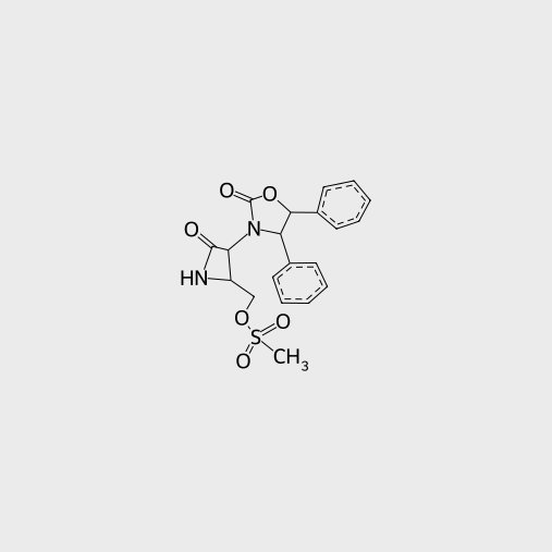 CS(=O)(=O)OCC1NC(=O)C1N1C(=O)OC(c2ccccc2)C1c1ccccc1